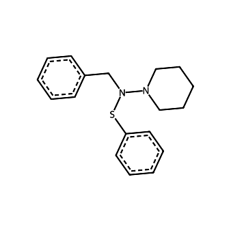 c1ccc(CN(Sc2ccccc2)N2CCCCC2)cc1